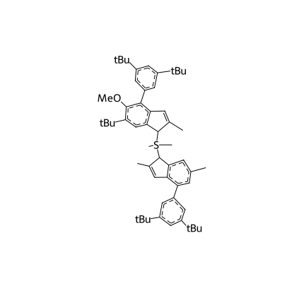 COc1c(C(C)(C)C)cc2c(c1-c1cc(C(C)(C)C)cc(C(C)(C)C)c1)C=C(C)C2S(C)(C)C1C(C)=Cc2c(-c3cc(C(C)(C)C)cc(C(C)(C)C)c3)cc(C)cc21